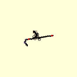 CCCC/C=C\C/C=C\CCCCCCCC(=O)O[C@H](COC(=O)CCCCCCCCCCCCCCC)COP(=O)([O-])OCC[N+](C)(C)C